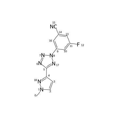 Cn1ccc(-c2nnn(-c3cc(F)cc(C#N)c3)n2)n1